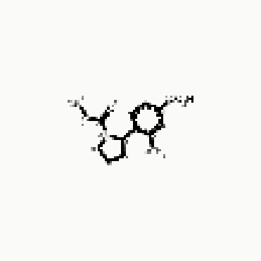 Cc1cc(C(=O)O)ccc1C1CCCN1C(=O)OC(C)(C)C